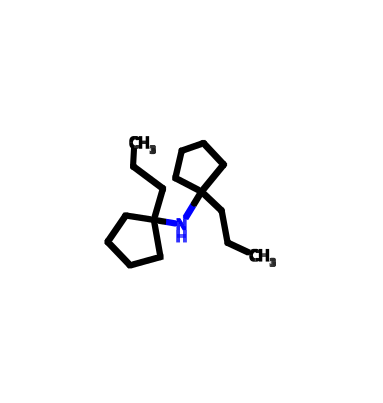 CCCC1(NC2(CCC)CCCC2)CCCC1